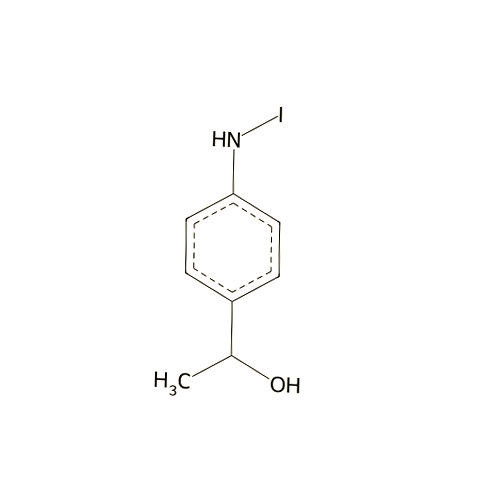 CC(O)c1ccc(NI)cc1